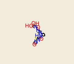 O=C(Nc1ccccc1N1CCN(CC(=O)N2C[C@@H](O)[C@@H](O)C2)CC1)c1csc(N2CCOCC2)n1